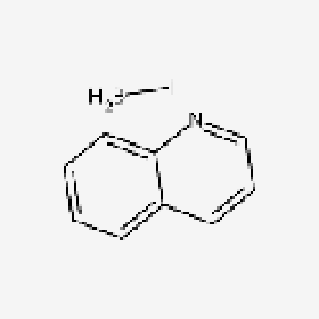 BI.c1ccc2ncccc2c1